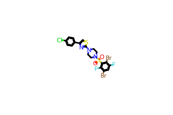 O=S(=O)(c1c(F)c(Br)cc(F)c1Br)N1CCN(c2nc(-c3ccc(Cl)cc3)cs2)CC1